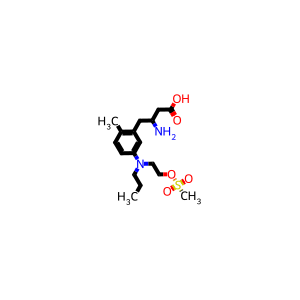 CCCN(CCOS(C)(=O)=O)c1ccc(C)c(CC(N)CC(=O)O)c1